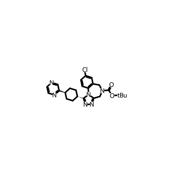 CC(C)(C)OC(=O)N1Cc2cc(Cl)ccc2-n2c(nnc2[C@H]2CC[C@H](c3cnccn3)CC2)C1